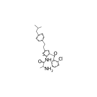 CC(C)Cc1ccc(CCc2cc(C(=O)c3ccccc3Cl)c(NC(=O)C(C)N)s2)cc1